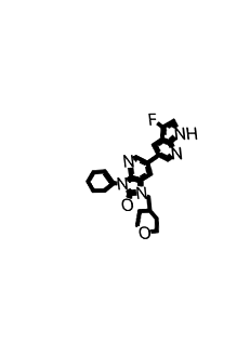 O=c1n(CC2CCOCC2)c2cc(-c3cnc4[nH]cc(F)c4c3)cnc2n1C1=CCCCC1